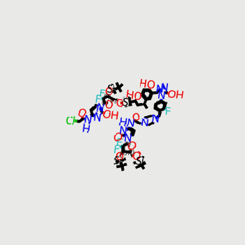 CC(CCC(C)(C)[Si](C)(C)OC[C@H]1O[C@@H](N2C=CC(NC(=O)CCl)=NC2O)C(F)(F)[C@@H]1O[Si](C)(C)C(C)(C)C)c1cc(-c2nnc(O)n2-c2ccc(CN3CCN(CC(=O)Nc4ccn([C@@H]5O[C@H](CO[Si](C)(C)C(C)(C)C)[C@@H](O[Si](C)(C)C(C)(C)C)C5(F)F)c(=O)n4)CC3)c(F)c2)c(O)cc1O